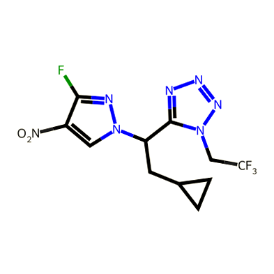 O=[N+]([O-])c1cn(C(CC2CC2)c2nnnn2CC(F)(F)F)nc1F